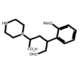 COc1ccccc1C(CC=O)CC(C(=O)O)N1CCNCC1